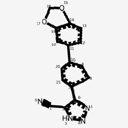 N#Cc1[nH]nnc1-c1ccc(-c2ccc3c(c2)OCO3)cc1